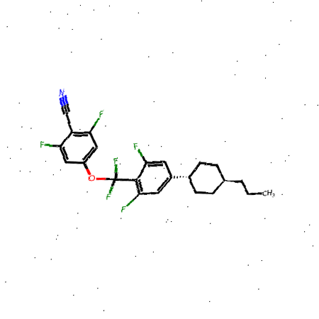 CCC[C@H]1CC[C@H](c2cc(F)c(C(F)(F)Oc3cc(F)c(C#N)c(F)c3)c(F)c2)CC1